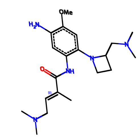 COc1cc(N2CCC2CN(C)C)c(NC(=O)/C(C)=C/CN(C)C)cc1N